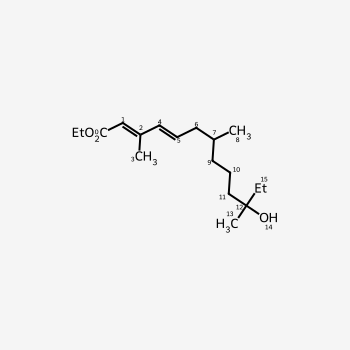 CCOC(=O)/C=C(C)/C=C/CC(C)CCCC(C)(O)CC